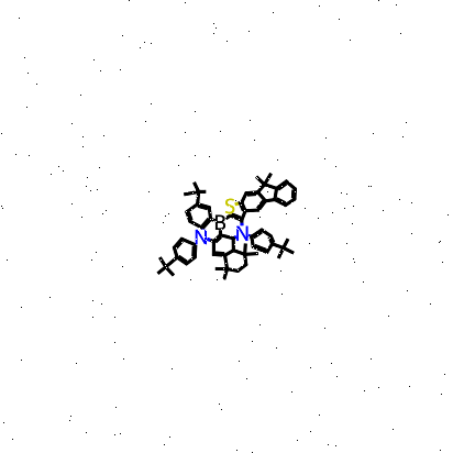 CC1(C)CCC(C)(C)C2C1=CC1=C3B(c4cc(C(C)(C)C)ccc4N1c1ccc(C(C)(C)C)cc1)c1sc4cc5c(cc4c1N(c1ccc(C(C)(C)C)cc1)C32)-c1ccccc1C5(C)C